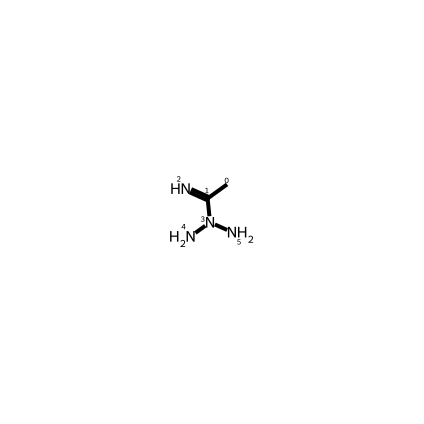 CC(=N)N(N)N